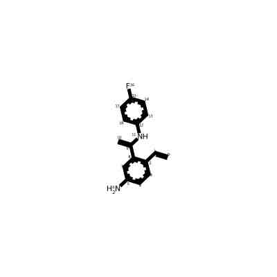 C=Cc1ccc(N)cc1C(=C)Nc1ccc(F)cc1